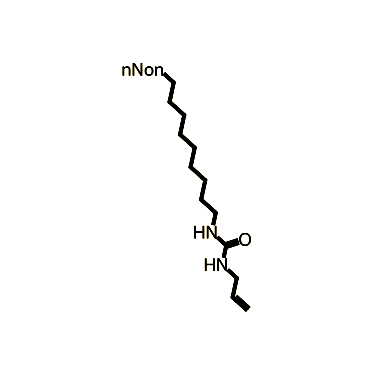 C=CCNC(=O)NCCCCCCCCCCCCCCCCCC